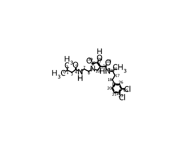 CC(C)CC(=O)NCCN1CC(C(=O)NC(C)CCc2ccc(Cl)c(Cl)c2)=C(O)C1=O